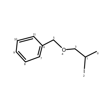 CC(I)COCc1ccccc1